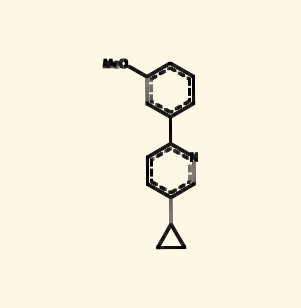 COc1cccc(-c2ccc(C3CC3)cn2)c1